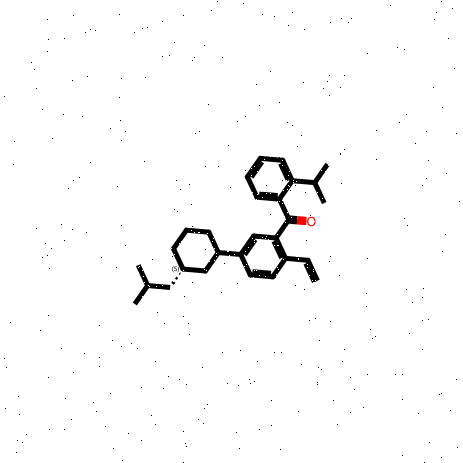 C=Cc1ccc(C2CCC[C@@H](CC(C)C)C2)cc1C(=O)c1ccccc1C(C)C